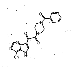 N#Cc1ncnc2c(C(=O)C(=O)N3CCN(C(=O)c4ccccc4)CC3)c[nH]c12